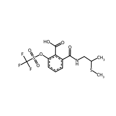 CSC(C)CNC(=O)c1cccc(OS(=O)(=O)C(F)(F)F)c1C(=O)O